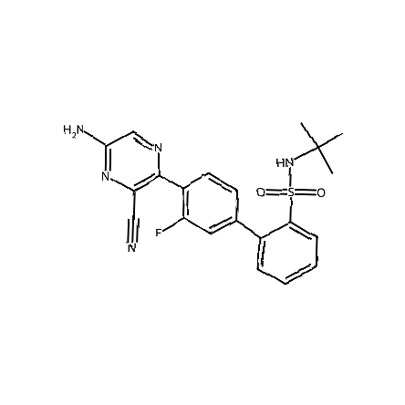 CC(C)(C)NS(=O)(=O)c1ccccc1-c1ccc(-c2ncc(N)nc2C#N)c(F)c1